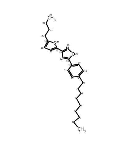 CCCCCCCCCc1ccc(-c2cc(-c3ccc(CCCC)s3)no2)cc1